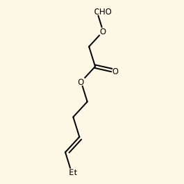 CCC=CCCOC(=O)COC=O